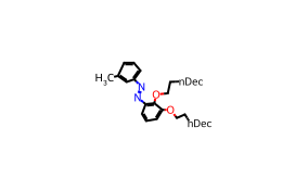 CCCCCCCCCCCCOc1cccc(N=Nc2cccc(C)c2)c1OCCCCCCCCCCCC